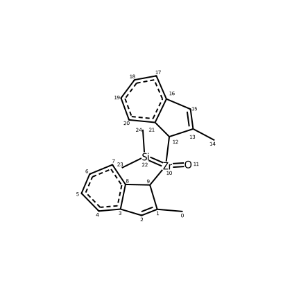 CC1=Cc2ccccc2[CH]1[Zr](=[O])([CH]1C(C)=Cc2ccccc21)=[Si](C)C